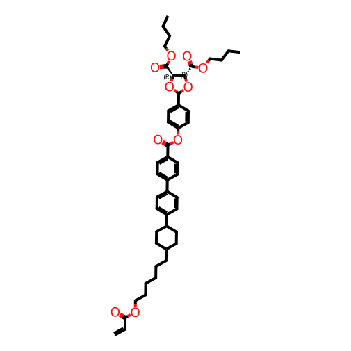 C=CC(=O)OCCCCCCC1CCC(c2ccc(-c3ccc(C(=O)Oc4ccc(C5O[C@@H](C(=O)OCCCC)[C@H](C(=O)OCCCC)O5)cc4)cc3)cc2)CC1